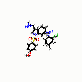 CNCc1cn(S(=O)(=O)c2ccc(OC)cc2)c2cc(Nc3ccc(C)cc3Cl)ccc12